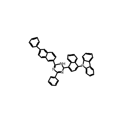 c1ccc(C2=NC(c3ccc(-n4c5ccccc5c5ccccc54)c4ccccc34)NC(c3ccc4cc(-c5ccccc5)ccc4c3)=N2)cc1